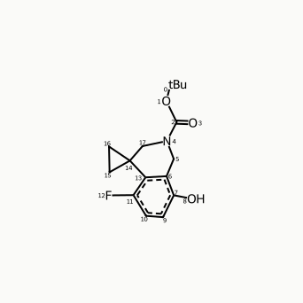 CC(C)(C)OC(=O)N1Cc2c(O)ccc(F)c2C2(CC2)C1